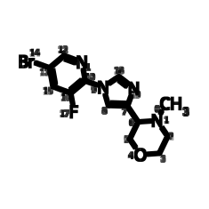 CN1CCOCC1c1cn(-c2ncc(Br)cc2F)cn1